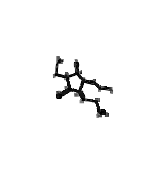 C=C/C=C1/C(=O)N(CC(C)C)C(=O)/C1=C/CN